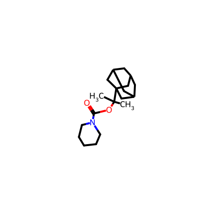 CC(C)(OC(=O)N1CCCCC1)C12CC3CC(CC(C3)C1)C2